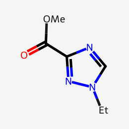 CCn1cnc(C(=O)OC)n1